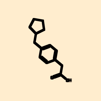 O=C(O)Cc1ccc(CC2CCCC2)cc1